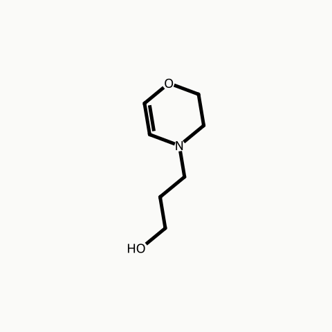 OCCCN1C=COCC1